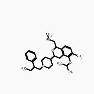 CCC(CN1CCC(C2Cc3c(ccc(C)c3OC(C)C)C(CNC)O2)CC1)c1ccccc1